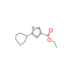 CCOC(=O)c1csc(C2CCCCC2)c1